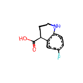 O=C(O)C1CCNc2ccc(F)cc21